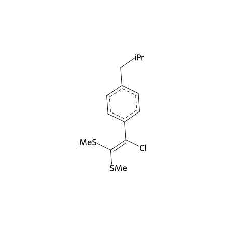 CSC(SC)=C(Cl)c1ccc(CC(C)C)cc1